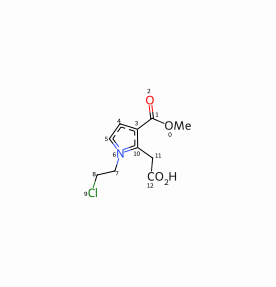 COC(=O)c1ccn(CCCl)c1CC(=O)O